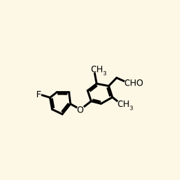 Cc1cc(Oc2ccc(F)cc2)cc(C)c1CC=O